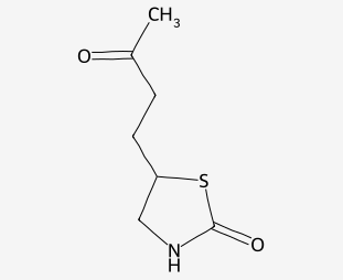 CC(=O)CCC1CNC(=O)S1